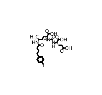 CC(CC[C@H](NC(=O)N[C@@H](CCC(=O)O)C(=O)O)C(=O)O)NC(=O)CCCc1ccc(I)cc1